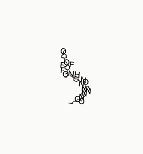 CCCCOC(=O)N1CCN(c2nccc(-c3nc(C45CCC(CNC(=O)c6cc(F)c(OCc7ccc(OC)cc7)c(F)c6F)(CC4)CC5)no3)n2)CC1